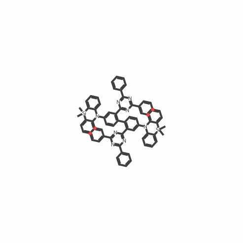 C[Si]1(C)c2ccccc2N(c2ccc(-c3ccc(N4c5ccccc5[Si](C)(C)c5ccccc54)cc3-c3nc(-c4ccccc4)nc(-c4ccccc4)n3)c(-c3nc(-c4ccccc4)nc(-c4ccccc4)n3)c2)c2ccccc21